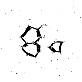 Nc1ccc2ncccc2n1.c1ccsc1